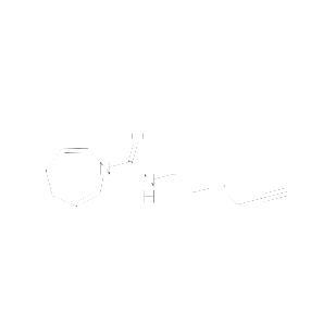 C#CCOCCNC(=O)N1C=CCCC=C1